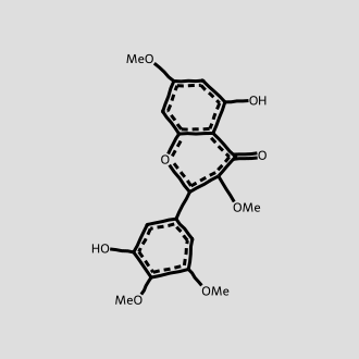 COc1cc(O)c2c(=O)c(OC)c(-c3cc(O)c(OC)c(OC)c3)oc2c1